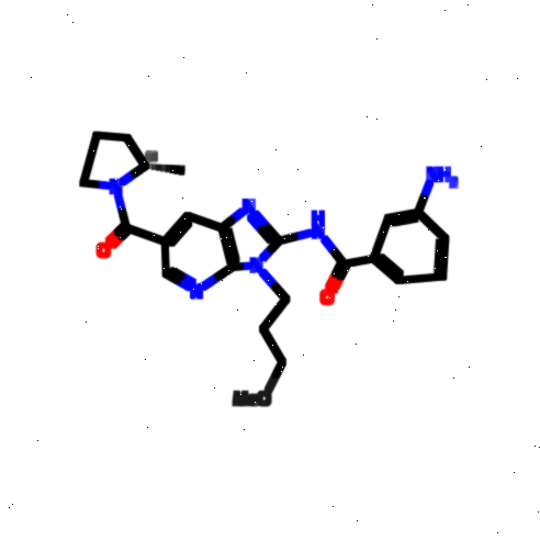 COCCCn1c(NC(=O)c2cccc(N)c2)nc2cc(C(=O)N3CCC[C@@H]3C)cnc21